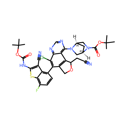 CC(C)(C)OC(=O)Nc1sc2c(F)ccc(-c3c4c(c5c(N6C[C@H]7C[C@@H]6CN7C(=O)OC(C)(C)C)ncnc5c3Cl)C(CC#N)OC4)c2c1C#N